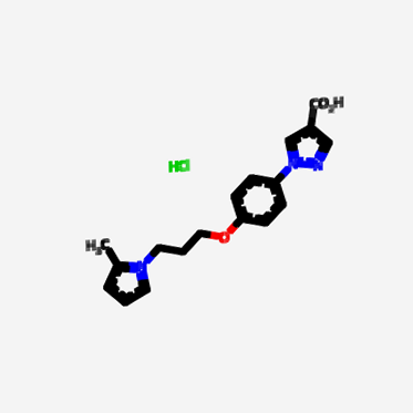 Cc1cccn1CCCOc1ccc(-n2cc(C(=O)O)cn2)cc1.Cl